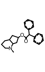 CN1CCCC2CC(OC(=O)C(c3ccccc3)c3ccccc3)CC21